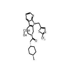 C[C@H]1CC[C@H](CC(=O)N2CCc3c(n(Cc4cnc(C(F)(F)F)s4)c4ncccc34)C2)CC1.O=C(O)O